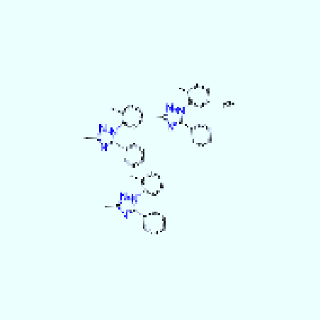 Cc1nc(-c2ccccc2)n(-c2ccccc2C)n1.Cc1nc(-c2ccccc2)n(-c2ccccc2C)n1.Cc1nc(-c2ccccc2)n(-c2ccccc2C)n1.[Ir+3]